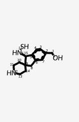 OCc1ccc2c(c1)CC1(CCNCC1)C2NS